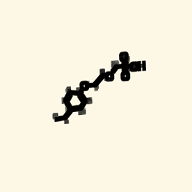 CCc1ccc(OCCOCS(=O)(=O)O)cc1